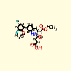 CCOC(=O)C[C@@H](Cc1ccc(-c2cc(F)cc(F)c2OC)cc1)NC(=O)CCC(=O)O